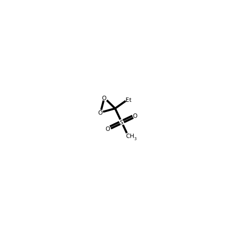 CCC1(S(C)(=O)=O)OO1